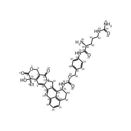 CC[C@@]1(O)C(=O)OCc2c1cc1n(c2=O)Cc2c-1nc1cccc3c1c2[C@@H](NC(=O)OCc1ccc(NC(=O)[C@@H](N)CCCNC(N)=O)cc1)CC3